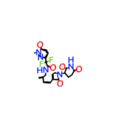 C=C(/C=C\C1=CCN(C2CCC(=O)NC2=O)C1=O)CNC(=O)C(F)(F)c1ccc(=O)n(C)n1